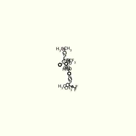 CN(C)C1CCN(CCC(CSc2ccccc2)Nc2ccc(S(=O)(=O)NC(=O)c3ccc(N4CCN(CC5=C(C67CC(C(F)F)(C6)C7)CC(C)(C)CC5)CC4)cc3)cc2S(=O)(=O)C(F)(F)F)CC1